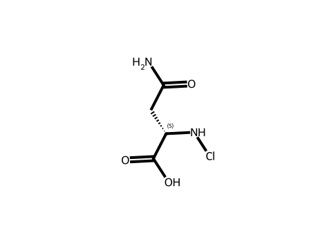 NC(=O)C[C@H](NCl)C(=O)O